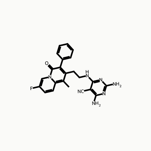 Cc1c(CCNc2nc(N)nc(N)c2C#N)c(-c2ccccc2)c(=O)n2cc(F)ccc12